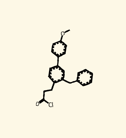 COc1ccc(-c2ccc(CCC(=O)Cl)c(Cc3ccccc3)c2)cc1